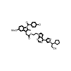 COc1ccc2c(c1)c(CC(=O)OCCn1ccc3c(-c4cnn(C(CC#N)C5CCCC5)c4)ncnc31)c(C)n2C(=O)c1ccc(Cl)cc1